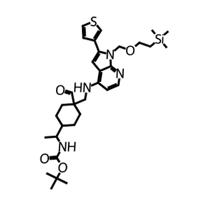 CC(NC(=O)OC(C)(C)C)C1CCC(C=O)(CNc2ccnc3c2cc(-c2ccsc2)n3COCC[Si](C)(C)C)CC1